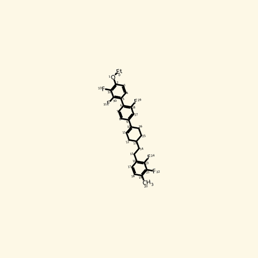 CCOc1ccc(-c2ccc(C3=CCC(CCc4ccc(C)c(F)c4F)CC3)cc2F)c(F)c1F